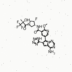 COc1ncc(-c2c(-c3nnn[nH]3)cc3c(N)ncnn23)cc1C(=O)N[C@@H]1CN(C(=O)[C@@](C)(O)C(F)(F)F)C[C@@H]1F